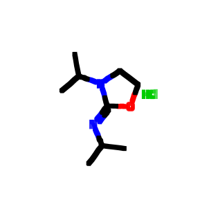 CC(C)N=C1OCCN1C(C)C.Cl